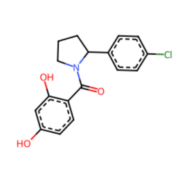 O=C(c1ccc(O)cc1O)N1CCCC1c1ccc(Cl)cc1